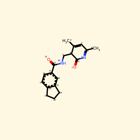 CC1=CC(C)=NC(=O)C1CNC(=O)c1ccc2c(c1)CCC2